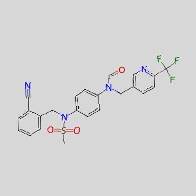 CS(=O)(=O)N(Cc1ccccc1C#N)c1ccc(N(C=O)Cc2ccc(C(F)(F)F)nc2)cc1